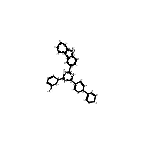 ClC1=CC=CC(c2nc(C3=CCC(C4=CCCC=C4)C=C3)nc(-c3ccc4oc5ccccc5c4c3)n2)C1